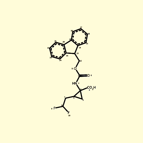 O=C(NC1(C(=O)O)CC1CC(F)F)OCC1c2ccccc2-c2ccccc21